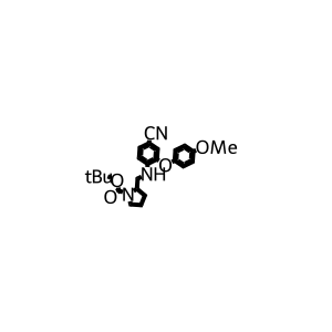 COc1ccc(Oc2cc(C#N)ccc2NCC2CCCN2C(=O)OC(C)(C)C)cc1